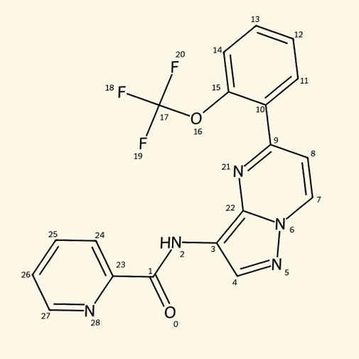 O=C(Nc1cnn2ccc(-c3ccccc3OC(F)(F)F)nc12)c1ccccn1